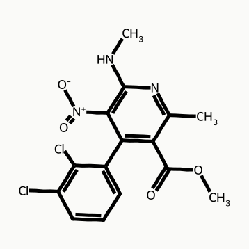 CNc1nc(C)c(C(=O)OC)c(-c2cccc(Cl)c2Cl)c1[N+](=O)[O-]